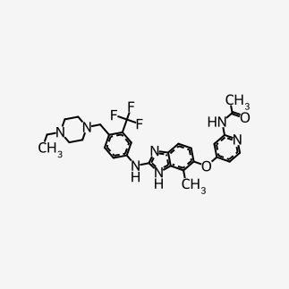 CCN1CCN(Cc2ccc(Nc3nc4ccc(Oc5ccnc(NC(C)=O)c5)c(C)c4[nH]3)cc2C(F)(F)F)CC1